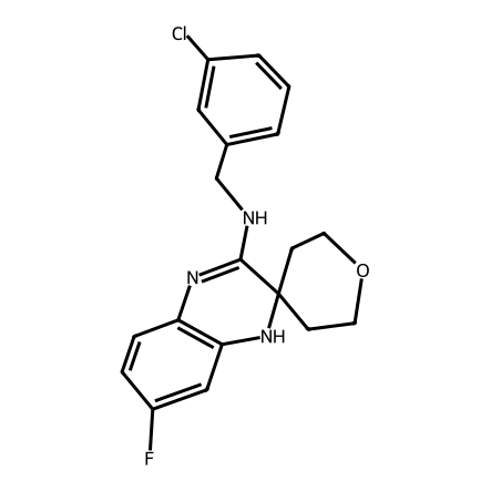 Fc1ccc2c(c1)NC1(CCOCC1)C(NCc1cccc(Cl)c1)=N2